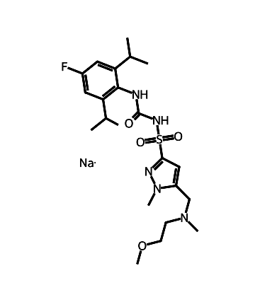 COCCN(C)Cc1cc(S(=O)(=O)NC(=O)Nc2c(C(C)C)cc(F)cc2C(C)C)nn1C.[Na]